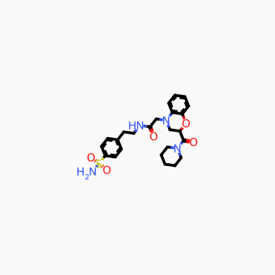 NS(=O)(=O)c1ccc(CCNC(=O)CN2CC(C(=O)N3CCCCC3)Oc3ccccc32)cc1